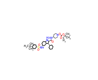 CC(C)(C)OC(=O)ON1CCC(NC(=O)c2[nH]c3ccc(NS(=O)(=O)c4ccc(C(C)(C)C)cc4)cc3c2-c2ccccc2)CC1